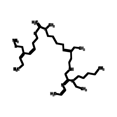 C=C(OCC/C=C\C(=C/CC)CSN)N(C)CCCC/C=C(\CC)CCNC/C(=N/C=C\C)N(CC)CCCCC